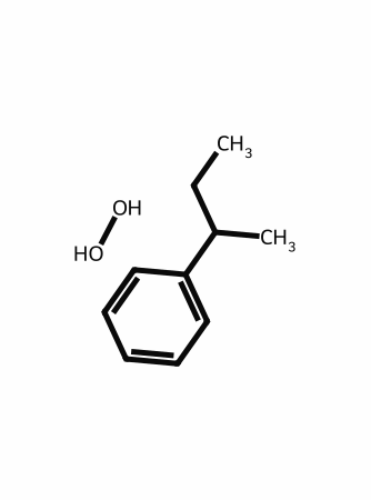 CCC(C)c1ccccc1.OO